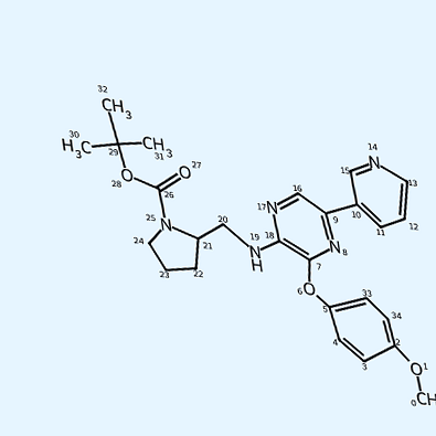 COc1ccc(Oc2nc(-c3cccnc3)cnc2NCC2CCCN2C(=O)OC(C)(C)C)cc1